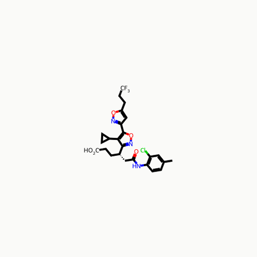 Cc1ccc(NC(=O)C[C@H](CCC(=O)O)c2noc(-c3cc(CCC(F)(F)F)on3)c2C2CC2)c(Cl)c1